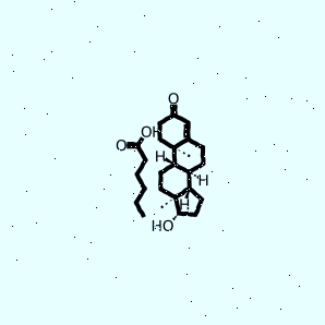 CCCCCC(=O)O.C[C@]12CC[C@H]3[C@@H](CCC4=CC(=O)CC[C@@]43C)[C@@H]1CC[C@@H]2O